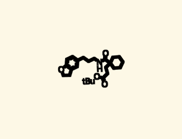 CC(C)(C)OC(=O)CCC1(C(=O)NCCCc2ccc3c(c2)CCO3)CCCCC1